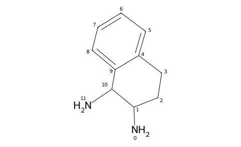 NC1CCc2ccccc2C1N